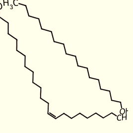 CCCCCCCC/C=C\CCCCCCCCCCCCO.CCCCCCCCCCCCCCCCCCO